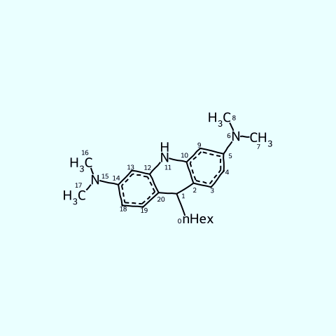 CCCCCCC1c2ccc(N(C)C)cc2Nc2cc(N(C)C)ccc21